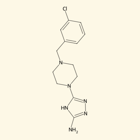 Nc1nnc(N2CCN(Cc3cccc(Cl)c3)CC2)[nH]1